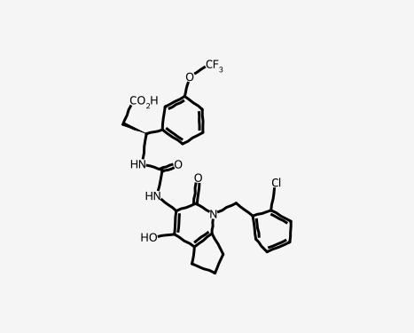 O=C(O)C[C@H](NC(=O)Nc1c(O)c2c(n(Cc3ccccc3Cl)c1=O)CCC2)c1cccc(OC(F)(F)F)c1